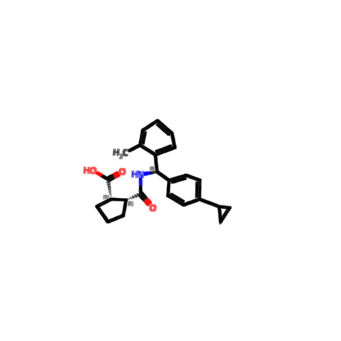 Cc1ccccc1[C@H](NC(=O)[C@@H]1CCC[C@@H]1C(=O)O)c1ccc(C2CC2)cc1